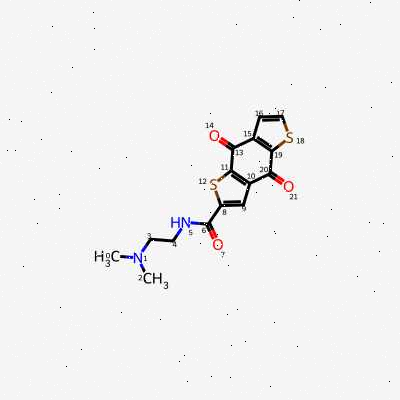 CN(C)CCNC(=O)c1cc2c(s1)C(=O)c1ccsc1C2=O